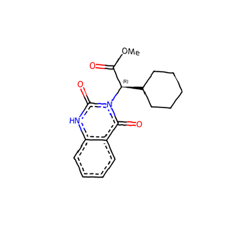 COC(=O)[C@@H](C1CCCCC1)n1c(=O)[nH]c2ccccc2c1=O